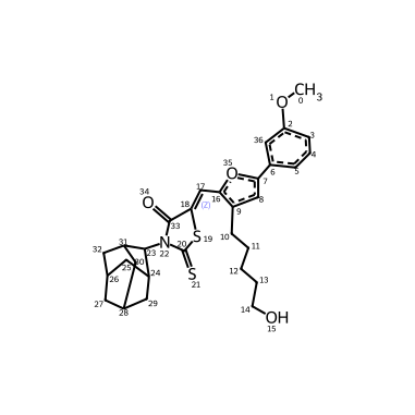 COc1cccc(-c2cc(CCCCCO)c(/C=C3\SC(=S)N(C4C5CC6CC(C5)CC4C6)C3=O)o2)c1